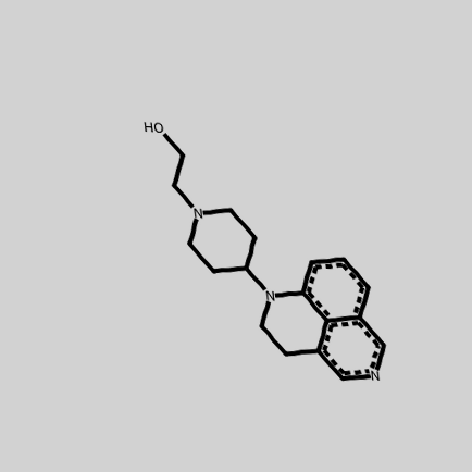 OCCN1CCC(N2CCc3cncc4cccc2c34)CC1